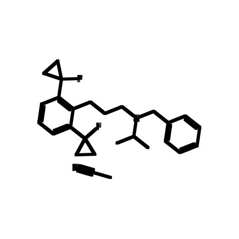 CC#N.CC(C)N(CCCc1c(C2(F)CC2)cccc1C1(F)CC1)Cc1ccccc1